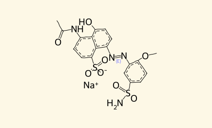 COc1ccc(S(N)(=O)=O)cc1/N=N/c1ccc(O)c2c(NC(C)=O)ccc(S(=O)(=O)[O-])c12.[Na+]